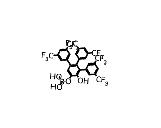 OB(O)Oc1cc(-c2cc(C(F)(F)F)cc(C(F)(F)F)c2)c(-c2cc(C(F)(F)F)cc(C(F)(F)F)c2)c(-c2cc(C(F)(F)F)cc(C(F)(F)F)c2)c1O